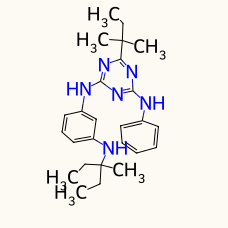 CCC(C)(CC)Nc1cccc(Nc2nc(Nc3ccccc3)nc(C(C)(C)CC)n2)c1